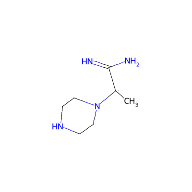 C[C](C(=N)N)N1CCNCC1